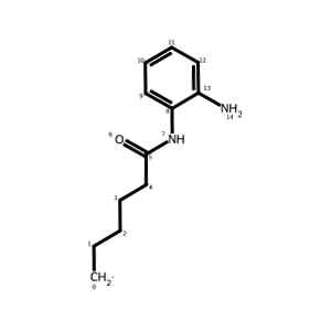 [CH2]CCCCC(=O)Nc1ccccc1N